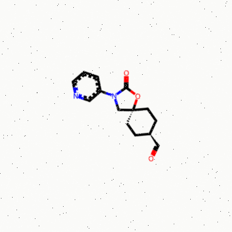 O=C[C@H]1CC[C@]2(CC1)CN(c1cccnc1)C(=O)O2